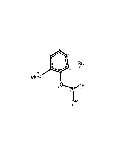 COc1ccccc1OP(O)O.[Ru]